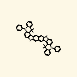 CC1(C)c2ccccc2N(c2ccccc2)c2ccc3sc4cc5cc6c(cc5cc4c3c21)sc1ccc2c(c16)C(C)(C)c1ccccc1N2c1ccccc1